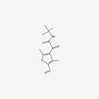 Cc1oc(C=O)c(C)c1C(=O)C(=O)NC(C)(C)C